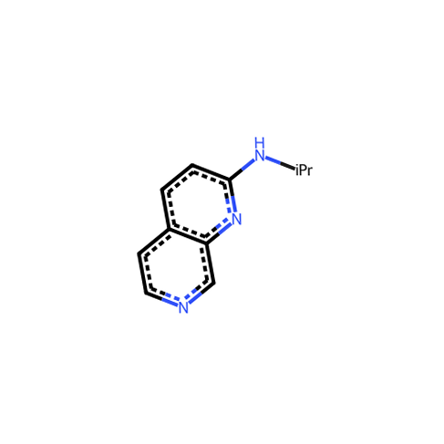 CC(C)Nc1ccc2ccncc2n1